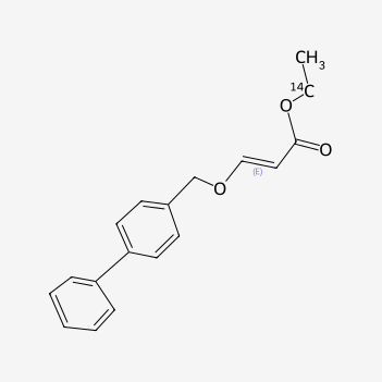 C[14CH2]OC(=O)/C=C/OCc1ccc(-c2ccccc2)cc1